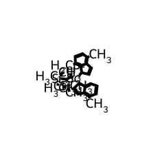 CCC[CH]([C]([Si](C)(C)C)[Si](C)(C)C)[Sc]([CH]1C=Cc2c(C)cccc21)[CH]1C=Cc2c(C)ccc(C)c21